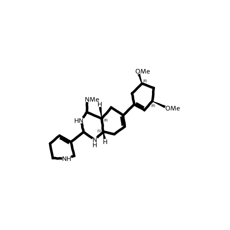 CNC1NC(C2=CCCNC2)N[C@H]2CC=C(C3=C[C@H](OC)C[C@H](OC)C3)C[C@@H]12